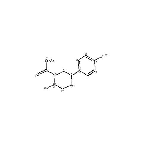 COC(=O)C1CC(c2ccc(F)cc2)CCN1C